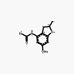 CCC(=O)Nc1cc(OC)cc2c1CC(C)O2